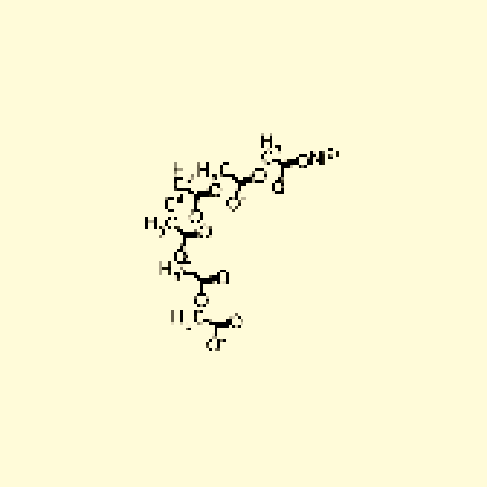 CC(=O)[O-].CC(=O)[O-].CC(=O)[O-].CC(=O)[O-].CC(=O)[O-].CC(=O)[O-].[C+4].[Ni+2]